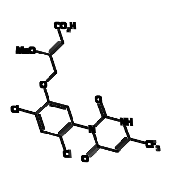 CO/C(=C\C(=O)O)COc1cc(-n2c(=O)cc(C(F)(F)F)[nH]c2=O)c(Cl)cc1Cl